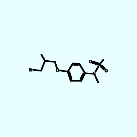 CC(CBr)COc1ccc(N(C)S(C)(=O)=O)cc1